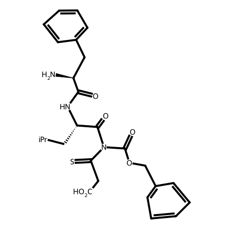 CC(C)C[C@H](NC(=O)[C@@H](N)Cc1ccccc1)C(=O)N(C(=O)OCc1ccccc1)C(=S)CC(=O)O